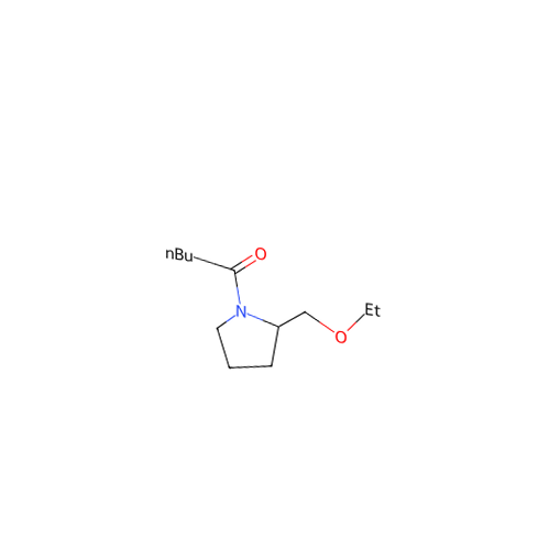 CCCCC(=O)N1CCCC1COCC